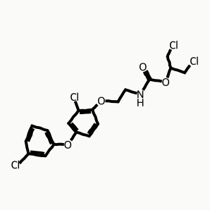 O=C(NCCOc1ccc(Oc2cccc(Cl)c2)cc1Cl)OC(CCl)CCl